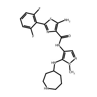 Cn1ncc(NC(=O)c2nc(-c3c(F)cccc3F)sc2N)c1NC1CCCNCC1